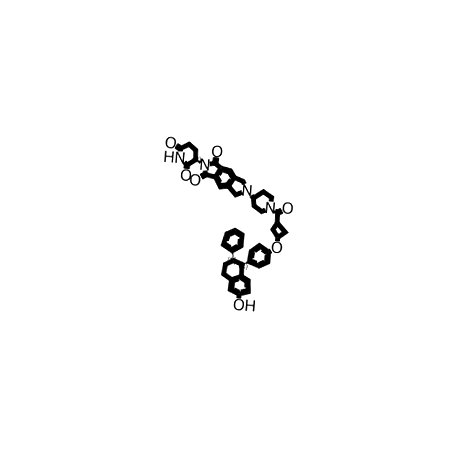 O=C1CC[C@@H](N2C(=O)c3cc4c(cc3C2=O)CN(C2CCN(C(=O)C3CC(Oc5ccc([C@@H]6c7ccc(O)cc7CC[C@@H]6c6ccccc6)cc5)C3)CC2)C4)C(=O)N1